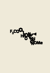 COc1nccc(NCc2c3c(nn2CCC2CC2)CC(CCc2cccc(OCC(F)(F)F)c2)NC3=O)n1